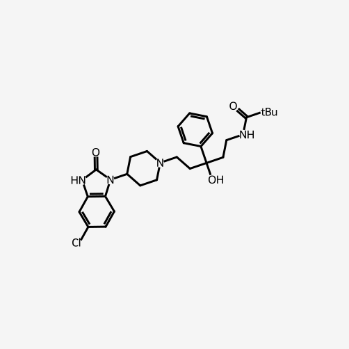 CC(C)(C)C(=O)NCCC(O)(CCN1CCC(n2c(=O)[nH]c3cc(Cl)ccc32)CC1)c1ccccc1